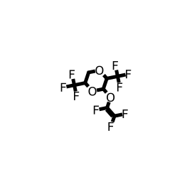 FC(F)=C(F)OC1OC(C(F)(F)F)COC1C(F)(F)F